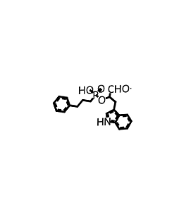 O=[C]C(Cc1c[nH]c2ccccc12)OP(=O)(O)CCCc1ccccc1